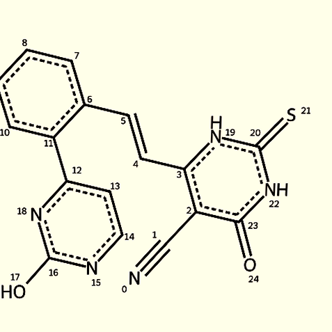 N#Cc1c(C=Cc2ccccc2-c2ccnc(O)n2)[nH]c(=S)[nH]c1=O